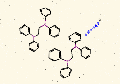 N#N.N#N.[W].c1ccc(P(CCP(c2ccccc2)c2ccccc2)c2ccccc2)cc1.c1ccc(P(CCP(c2ccccc2)c2ccccc2)c2ccccc2)cc1